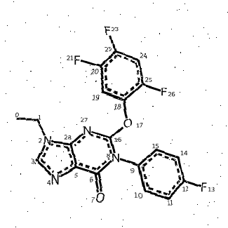 CCn1cnc2c(=O)n(-c3ccc(F)cc3)c(Oc3cc(F)c(F)cc3F)nc21